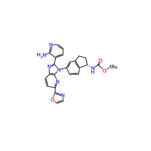 CC(C)(C)OC(=O)N[C@H]1CCc2cc(-n3c(-c4cccnc4N)nc4ccc(-c5ncco5)nc43)ccc21